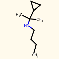 CCC[CH]NC(C)(C)C1CC1